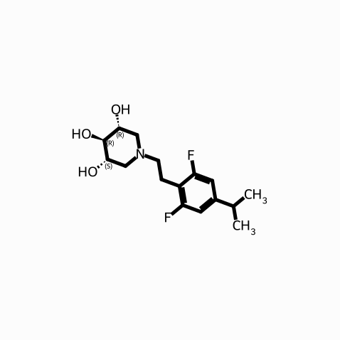 CC(C)c1cc(F)c(CCN2C[C@@H](O)[C@H](O)[C@@H](O)C2)c(F)c1